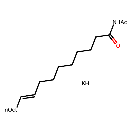 CCCCCCCCC=CCCCCCCCC(=O)NC(C)=O.[KH]